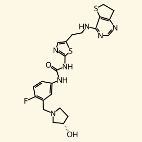 O=C(Nc1ccc(F)c(CN2CC[C@H](O)C2)c1)Nc1ncc(CCNc2ncnc3c2SCC3)s1